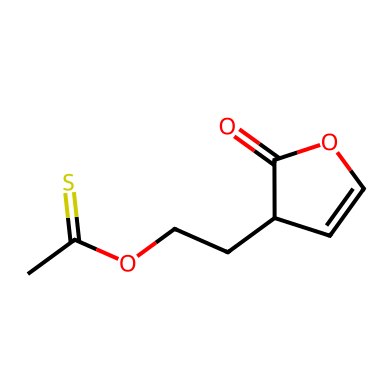 CC(=S)OCCC1C=COC1=O